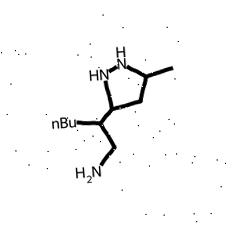 CCCCC(CN)C1CC(C)NN1